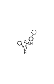 O=C(Nc1ccc(C2CCCCC2)cc1)[C@@H]1CNC[C@H]1c1ccccc1